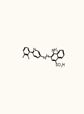 Cc1cccc(-c2ccc(/N=N/c3cc(S(=O)(=O)O)c4ccccc4c3N)cn2)c1C